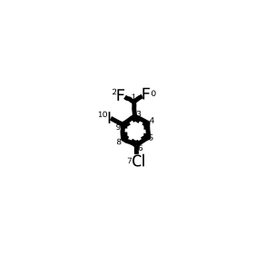 FC(F)c1ccc(Cl)cc1I